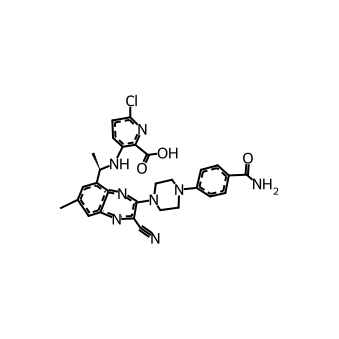 Cc1cc([C@@H](C)Nc2ccc(Cl)nc2C(=O)O)c2nc(N3CCN(c4ccc(C(N)=O)cc4)CC3)c(C#N)nc2c1